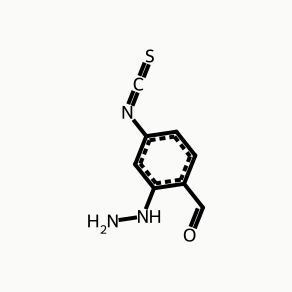 NNc1cc(N=C=S)ccc1C=O